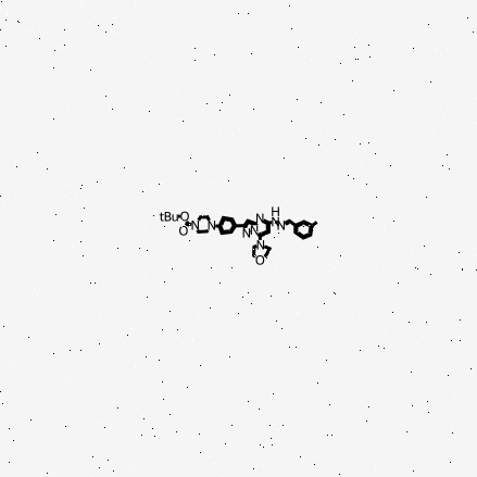 Cc1cccc(/C=N/Nc2cc(N3CCOCC3)n3nc(-c4ccc(N5CCN(C(=O)OC(C)(C)C)CC5)cc4)cc3n2)c1